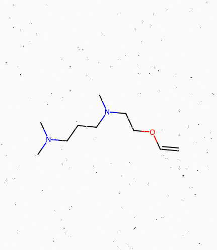 C=COCCN(C)CCCN(C)C